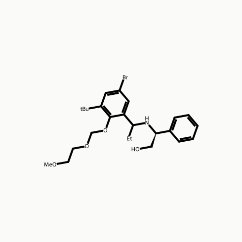 CCC(N[C@H](CO)c1ccccc1)c1cc(Br)cc(C(C)(C)C)c1OCOCCOC